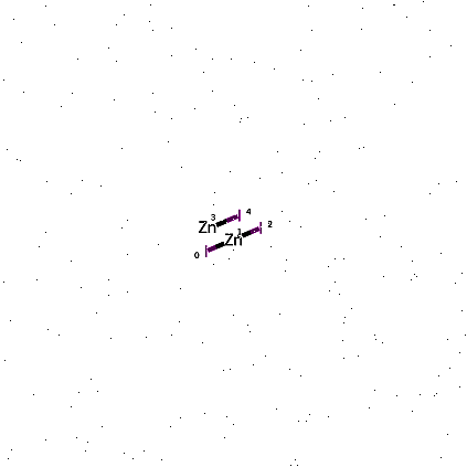 [I][Zn][I].[Zn][I]